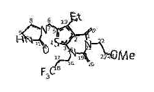 C=C1c2c(sc(CN3CCNC3=O)c2CC)N(CCC(F)(F)F)C(=C)N1CCOC